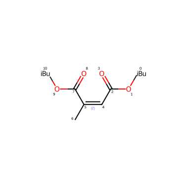 CCC(C)OC(=O)/C=C(/C)C(=O)OC(C)CC